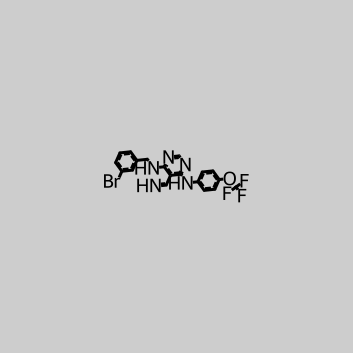 N=Cc1c(NCc2cccc(Br)c2)ncnc1Nc1ccc(OC(F)(F)F)cc1